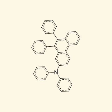 c1ccc(-c2c(-c3ccccc3)c3cc(N(c4ccccc4)c4ccccc4)ccc3c3ccccc23)cc1